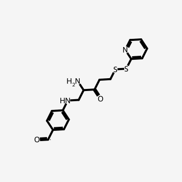 NC(CNc1ccc([C]=O)cc1)C(=O)CCSSc1ccccn1